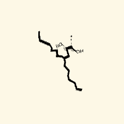 CCCCCCC(CCCCCC)C[C@H](O)[C@H](C)O